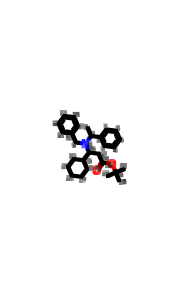 CC(c1ccccc1)N(Cc1ccccc1)C(CC(=O)OC(C)(C)C)C1CCCCC1